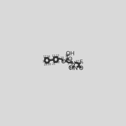 O=c1[nH]c(=O)n([C@H]2C[C@H](OCc3ccc(-c4ccccc4)cc3)[C@@H](CO)O2)cc1F